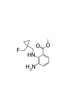 COC(=O)c1cccc(N)c1NCC1(CF)CC1